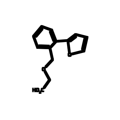 O=C(O)COCc1ccccc1-c1ccco1